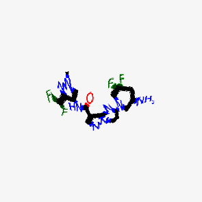 Cn1cc(NC(=O)c2cnn3ccc(N4CC(N)CC(F)(F)C4)nc23)c(C(F)F)n1